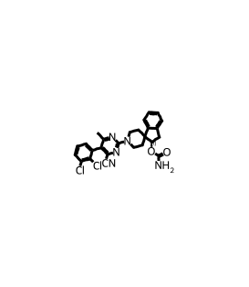 Cc1nc(N2CCC3(CC2)c2ccccc2C[C@H]3OC(N)=O)nc(C#N)c1-c1cccc(Cl)c1Cl